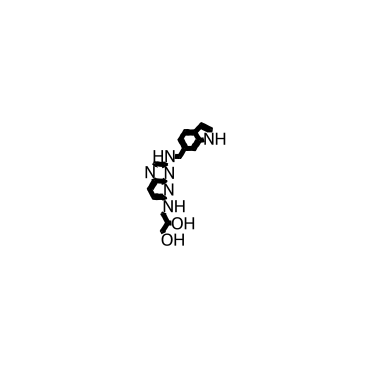 OCC(O)CNc1ccc2ncc(NCc3ccc4cc[nH]c4c3)nc2n1